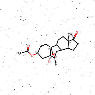 CC(=O)O[C@H]1CC[C@]23CO[C@H](CC4C2CC[C@]2(C)C(=O)CCC42)[C@@]3(Br)C1